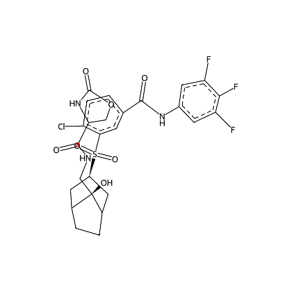 O=C1NC(C(=O)NC[C@]2(O)C3CCC2C[C@@H](S(=O)(=O)c2cc(C(=O)Nc4cc(F)c(F)c(F)c4)ccc2Cl)C3)CO1